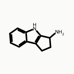 NC1CCc2c1[nH]c1ccccc21